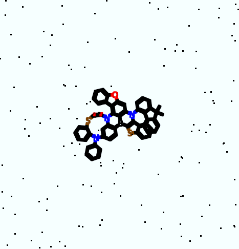 CC1(C)c2ccccc2-c2c(N3c4cc5oc6ccccc6c5c5c4B(c4ccc6cc4N5c4ccccc4Sc4ccccc4N6c4ccccc4)c4sc5ccccc5c43)cccc21